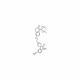 CC(C)N1C(=O)CCc2cc(OCCN3CCC4(CC3)C(=O)Nc3ccc(C#N)cc34)ccc21